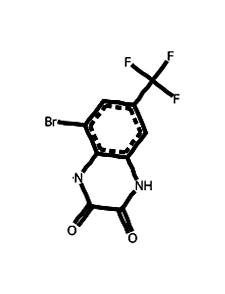 O=C1[N]c2c(Br)cc(C(F)(F)F)cc2NC1=O